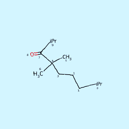 CC(C)CCCC(C)(C)C(=O)C(C)C